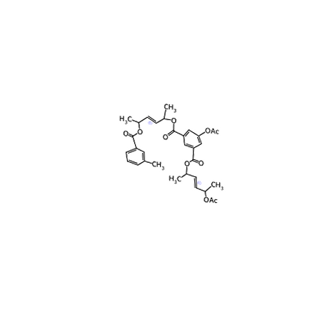 CC(=O)Oc1cc(C(=O)OC(C)/C=C/C(C)OC(C)=O)cc(C(=O)OC(C)/C=C/C(C)OC(=O)c2cccc(C)c2)c1